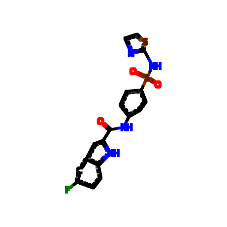 O=C(Nc1ccc(S(=O)(=O)Nc2nccs2)cc1)c1cc2cc(F)ccc2[nH]1